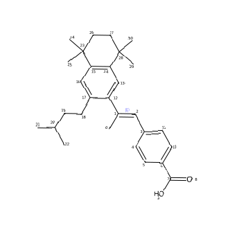 C/C(=C\c1ccc(C(=O)O)cc1)c1cc2c(cc1CCC(C)C)C(C)(C)CCC2(C)C